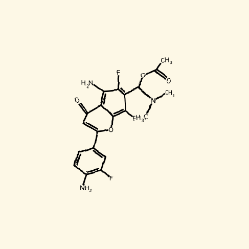 CC(=O)OC(c1c(F)c(N)c2c(=O)cc(-c3ccc(N)c(F)c3)oc2c1F)N(C)C